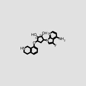 Nc1ccnc2c1c(F)cn2C1CC(Oc2cccc3c2CNCC3)[C@@H](O)[C@H]1O